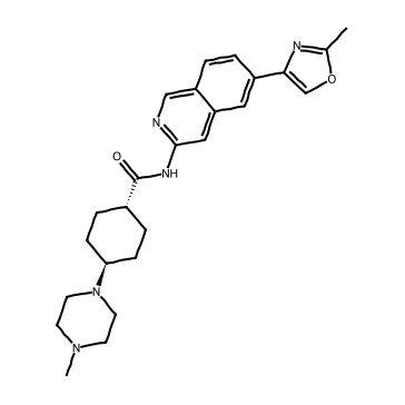 Cc1nc(-c2ccc3cnc(NC(=O)[C@H]4CC[C@H](N5CCN(C)CC5)CC4)cc3c2)co1